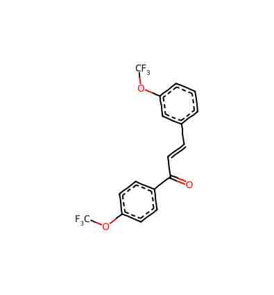 O=C(C=Cc1cccc(OC(F)(F)F)c1)c1ccc(OC(F)(F)F)cc1